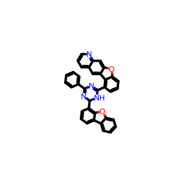 c1ccc(C2=NC(c3cccc4c3oc3ccccc34)NC(c3cccc4oc5cc6ncccc6cc5c34)=N2)cc1